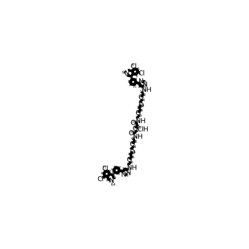 CN1Cc2c(Cl)cc(Cl)cc2[C@@H](c2cccc(-c3cc(NCCOCCOCCOCCNC(=O)COCC(=O)NCCOCCOCCOCCNc4cc(-c5cccc([C@@H]6CN(C)Cc7c(Cl)cc(Cl)cc76)c5)ncn4)ncn3)c2)C1.Cl